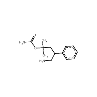 CC(C)(CC(CN)c1ccccc1)OC(N)=O